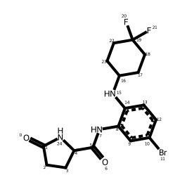 O=C1CCC(C(=O)Nc2cc(Br)ccc2NC2CCC(F)(F)CC2)N1